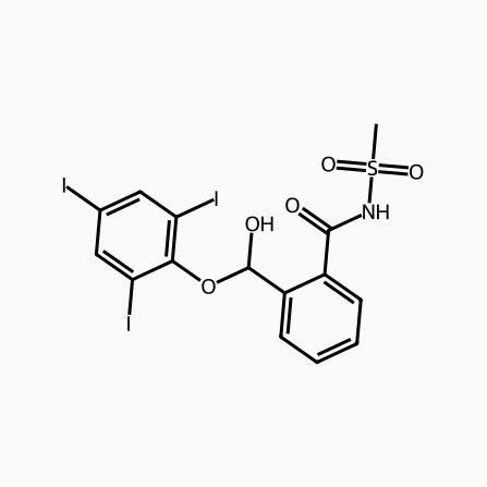 CS(=O)(=O)NC(=O)c1ccccc1C(O)Oc1c(I)cc(I)cc1I